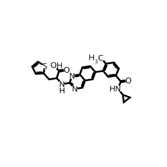 Cc1ccc(C(=O)NC2CC2)cc1-c1ccc2nc(NC(Cc3cccs3)C(=O)O)ncc2c1